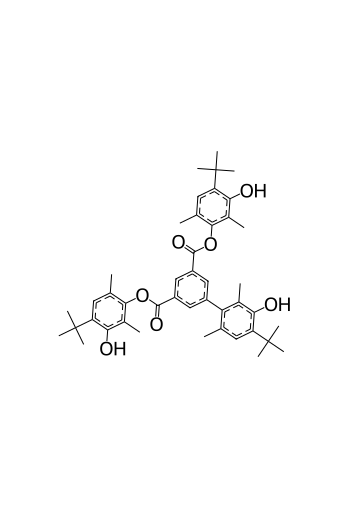 Cc1cc(C(C)(C)C)c(O)c(C)c1OC(=O)c1cc(C(=O)Oc2c(C)cc(C(C)(C)C)c(O)c2C)cc(-c2c(C)cc(C(C)(C)C)c(O)c2C)c1